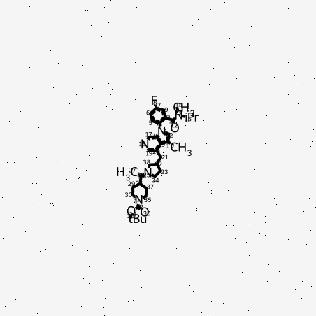 Cc1cn(-c2ccc(F)cc2C(=O)N(C)C(C)C)c2cncc(CC3CCN([C@H](C)C4CCN(C(=O)OC(C)(C)C)CC4)C3)c12